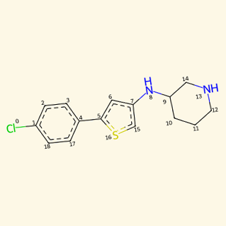 Clc1ccc(-c2cc(NC3CCCNC3)cs2)cc1